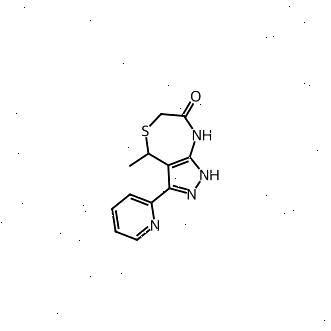 CC1SCC(=O)Nc2[nH]nc(-c3ccccn3)c21